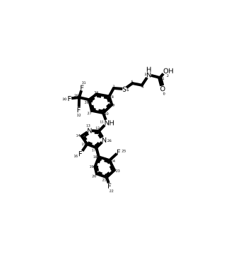 O=C(O)NCCSCc1cc(Nc2ncc(F)c(-c3ccc(F)cc3F)n2)cc(C(F)(F)F)c1